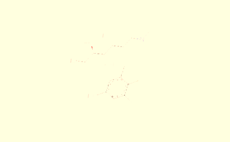 CNC[C@H](O)[C@@H](O)[C@H](O)[C@H](O)CO.Cc1cc(O)cc(C)c1Cl